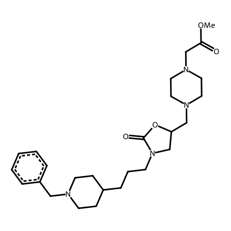 COC(=O)CN1CCN(CC2CN(CCCC3CCN(Cc4ccccc4)CC3)C(=O)O2)CC1